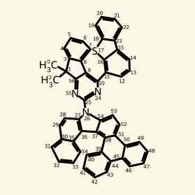 CC1(C)c2ccccc2-c2c(-c3cccc4c3sc3ccccc34)nc(-n3c4ccc5ccccc5c4c4c5c6ccccc6c6ccccc6c5ccc43)nc21